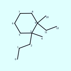 CCCC1(C)CCCCC1(C)CC